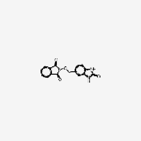 O=C1c2ccccc2C(=O)N1OCc1ccc2[nH]c(=O)[nH]c2c1